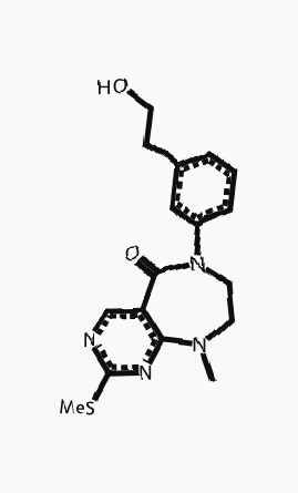 CSc1ncc2c(n1)N(C)CCN(c1cccc(CCO)c1)C2=O